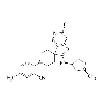 CN1CC[C@H](NC(=O)C2(c3ccc(Cl)nc3)CCN(c3ccc(C(F)(F)F)cc3C#N)CC2)C1